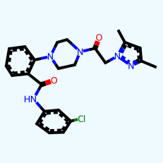 Cc1cc(C)n(CC(=O)N2CCN(c3ccccc3C(=O)Nc3cccc(Cl)c3)CC2)n1